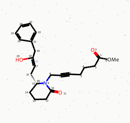 COC(=O)CCCC#CCN1C(=O)CCC[C@@H]1C/C=C(\O)Cc1ccccc1